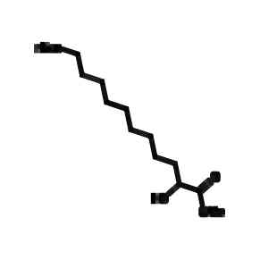 CCCCCCCCCCCCCCCCCCC(O)C(=O)OC